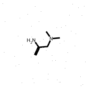 C=C(N)CN(C)C